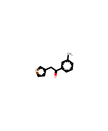 Cc1cccc(C(=O)Cc2ccsc2)c1